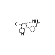 NCCc1cc(Cl)c2ccncc2c1-c1cccc(F)c1